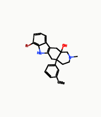 COc1cccc(C23CCN(C)CC2(O)Cc2c([nH]c4c(Br)cccc24)C3)c1